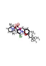 C[Si](C)(C)CCOCn1nc(C(=O)N2[C@@H]3CC[C@H]2C[C@H](C(=O)OCc2ccccc2)C3)cc1Br